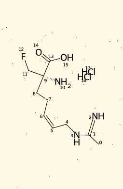 CC(=N)NC/C=C\CC[C@@](N)(CF)C(=O)O.Cl.Cl